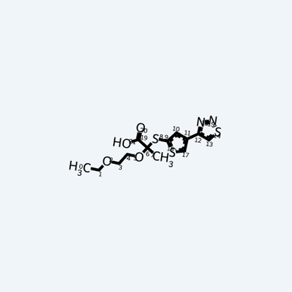 CCOCCOC(C)(Sc1cc(-c2csnn2)cs1)C(=O)O